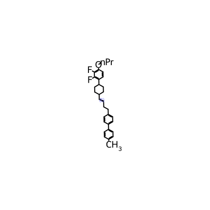 CCCOc1ccc(C2CCC(/C=C/CCc3ccc(-c4ccc(C)cc4)cc3)CC2)c(F)c1F